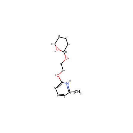 Cc1cccc(OCCOC2CCCCO2)n1